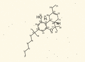 CCCCCCC(C)(C)c1cc(O)c2c(c1)OC(C)(C)[C@H]1CC=C(CC)C[C@H]21